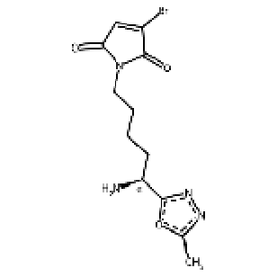 Cc1nnc([C@@H](N)CCCCN2C(=O)C=C(Br)C2=O)o1